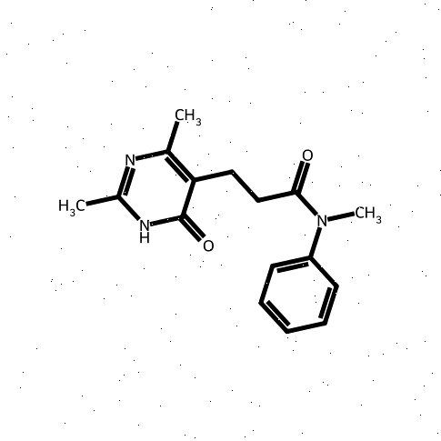 Cc1nc(C)c(CCC(=O)N(C)c2ccccc2)c(=O)[nH]1